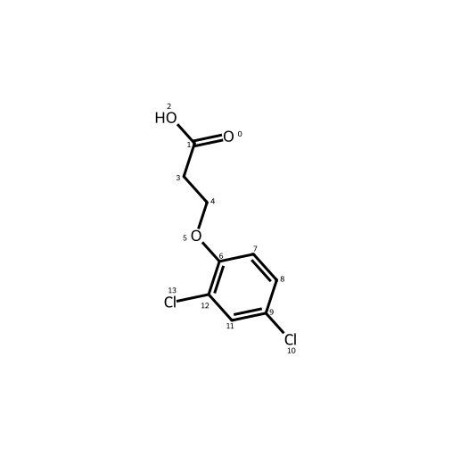 O=C(O)CCOc1ccc(Cl)cc1Cl